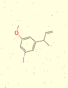 [CH2]C(C=C)c1cc(I)cc(OC)c1